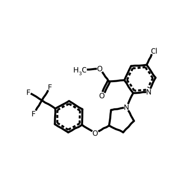 COC(=O)c1cc(Cl)cnc1N1CCC(Oc2ccc(C(F)(F)F)cc2)C1